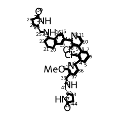 COc1nc(-c2cccc(-c3ccnc(-c4ccc5c(c4)CCCC5NC[C@H]4CCC(=O)N4)c3Cl)c2Cl)ccc1CNC[C@@H]1CCC(=O)N1